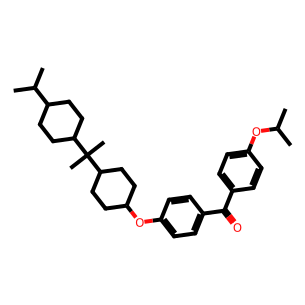 CC(C)Oc1ccc(C(=O)c2ccc(OC3CCC(C(C)(C)C4CCC(C(C)C)CC4)CC3)cc2)cc1